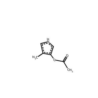 CC(=O)Oc1c[nH]cc1C